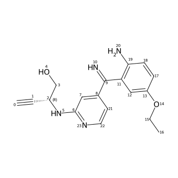 C#C[C@H](CO)Nc1cc(C(=N)c2cc(OCC)ccc2N)ccn1